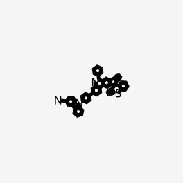 N#Cc1ccc2c(c1)c1ccccc1n2-c1ccc(-c2ccc3c(c2)nc(-c2ccccc2)c2cc4c(cc23)C2(c3ccccc3Sc3ccccc32)c2ccccc2-4)cc1